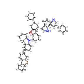 c1ccc(-c2cc(-c3c[nH]c4c3ccc3ncc(-c5ccccc5)cc34)c3c(c2)oc2c(-n4c5ccccc5c5cc(-c6ccc7c(c6)sc6ccccc67)ccc54)cccc23)cc1